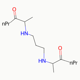 CCCC(=O)C(C)NCCCNC(C)C(=O)CCC